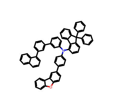 c1ccc(C2(c3ccccc3)c3ccccc3-c3c(N(c4ccc(-c5ccc6oc7ccccc7c6c5)cc4)c4cccc(-c5cccc(-c6cccc7ccccc67)c5)c4)cccc32)cc1